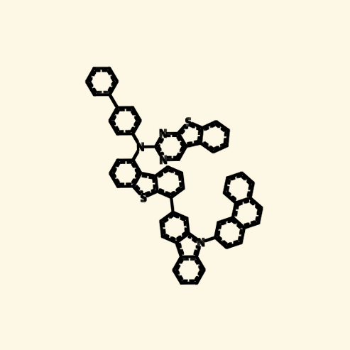 c1ccc(-c2ccc(N(c3ncc4c(n3)sc3ccccc34)c3cccc4sc5c(-c6ccc7c8ccccc8n(-c8ccc9ccc%10ccccc%10c9c8)c7c6)cccc5c34)cc2)cc1